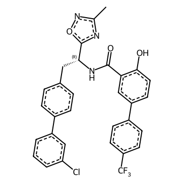 Cc1noc([C@@H](Cc2ccc(-c3cccc(Cl)c3)cc2)NC(=O)c2cc(-c3ccc(C(F)(F)F)cc3)ccc2O)n1